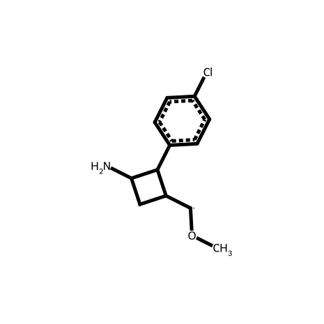 CO[CH]C1CC(N)C1c1ccc(Cl)cc1